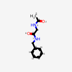 CC(=O)NCC(=O)NCc1c[c]ccc1